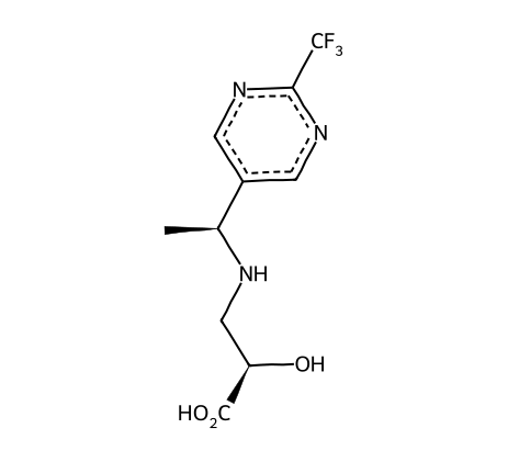 C[C@H](NC[C@@H](O)C(=O)O)c1cnc(C(F)(F)F)nc1